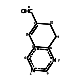 O=CC1=Cc2cncnc2CC1